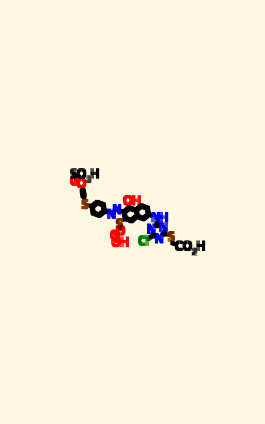 O=C(O)CSc1nc(Cl)nc(Nc2ccc3c(O)c(N=Nc4ccc(SC#COOS(=O)(=O)O)cc4)c(SOOO)cc3c2)n1